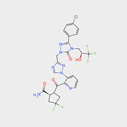 NC(=O)[C@@H]1CC(F)(F)CC1C(=O)c1ncccc1-n1cnc(Cn2nc(-c3ccc(Cl)cc3)n(C[C@H](O)C(F)(F)F)c2=O)n1